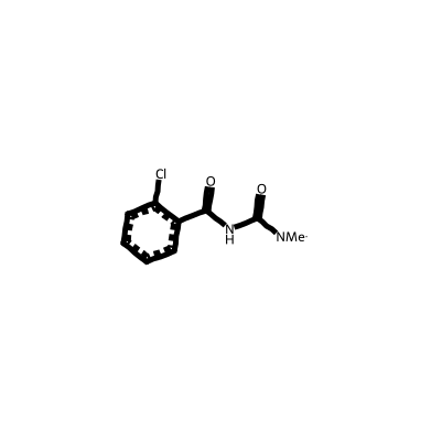 C[N]C(=O)NC(=O)c1ccccc1Cl